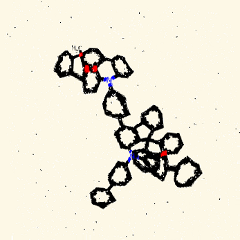 CC1(C)c2ccccc2-c2ccc(N(c3ccc(-c4ccc(N(c5ccc(-c6ccccc6)cc5)c5ccc(-c6ccccc6)cc5)c5c4-c4ccccc4C5(c4ccccc4)c4ccccc4)cc3)c3ccccc3-c3ccccc3)cc21